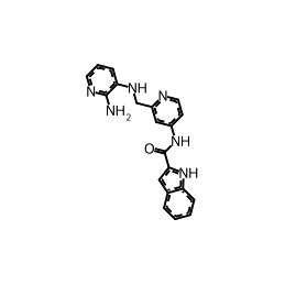 Nc1ncccc1NCc1cc(NC(=O)c2cc3ccccc3[nH]2)ccn1